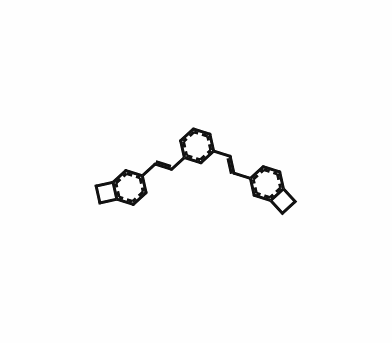 C(=Cc1ccc2c(c1)CC2)c1cccc(C=Cc2ccc3c(c2)CC3)c1